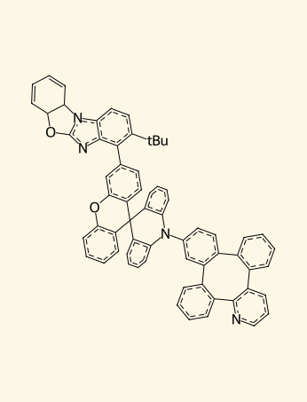 CC(C)(C)c1ccc2c(nc3n2C2C=CC=CC2O3)c1-c1ccc2c(c1)Oc1ccccc1C21c2ccccc2N(c2ccc3c(c2)-c2ccccc2-c2ncccc2-c2ccccc2-3)c2ccccc21